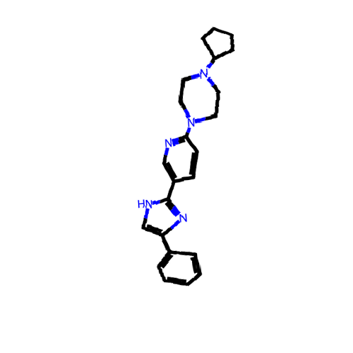 c1ccc(-c2c[nH]c(-c3ccc(N4CCN(C5CCCC5)CC4)nc3)n2)cc1